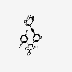 O=C1N[C@H](c2cncc(C#Cc3ccnnc3)c2)[C@@H](c2cc(F)ccc2F)O1